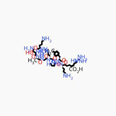 Cc1ccc(C[C@H](NC(=O)[C@@H]2CCCN2C(=O)[C@@H](CCCN)NC(=O)CNC(=O)[C@H](C)NC(=O)[C@@H](NC(=O)[C@@H](N)CCCCN)[C@@H](O)CN)C(=O)N[C@@H](CCCCN)C(=O)CC/C(=C\CCNC(=N)N)C(=O)O)cc1